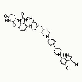 Cn1c(=O)n(C2CCC(=O)NC2=O)c2cccc(N3CCN(CC4CCN(c5ccc(C6CCN(c7ccc(Cl)c8c(C#N)c[nH]c78)CC6)cc5)CC4)CC3)c21